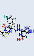 Cc1csc2nc(CCNc3nc(O)nc4[nH]cnc34)c(-c3cccc(F)c3)c(=O)n12